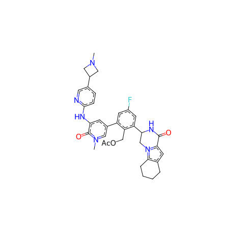 CC(=O)OCc1c(-c2cc(Nc3ccc(C4CN(C)C4)cn3)c(=O)n(C)c2)cc(F)cc1C1Cn2c(cc3c2CCCC3)C(=O)N1